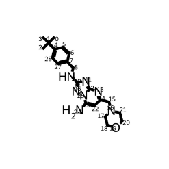 CC(C)(C)c1ccc(CNc2nc3nc(CN4CCOCC4)cc(N)n3n2)cc1